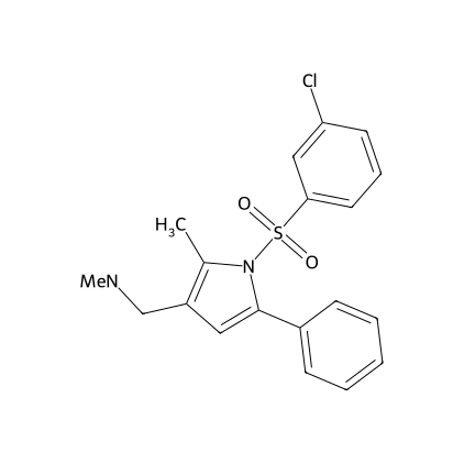 CNCc1cc(-c2ccccc2)n(S(=O)(=O)c2cccc(Cl)c2)c1C